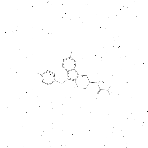 CC(C)C(=O)NC1CCc2c(c3cc(Cl)ccc3n2Cc2ccc(O)cc2)C1